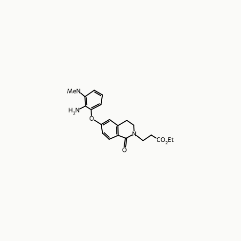 CCOC(=O)CCN1CCc2cc(Oc3cccc(NC)c3N)ccc2C1=O